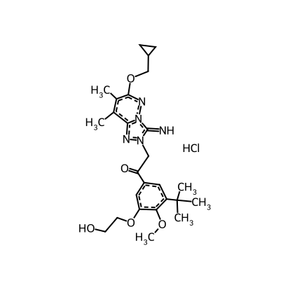 COc1c(OCCO)cc(C(=O)Cn2nc3c(C)c(C)c(OCC4CC4)nn3c2=N)cc1C(C)(C)C.Cl